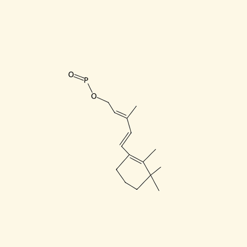 CC(C=CC1=C(C)C(C)(C)CCC1)=CCOP=O